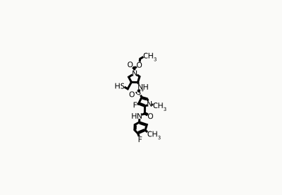 CCOC(=O)N1CC(CS)C(N[S+]([O-])c2cn(C)c(C(=O)Nc3ccc(F)c(C)c3)c2F)C1